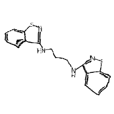 c1ccc2c(NCCCNc3nsc4ccccc34)nsc2c1